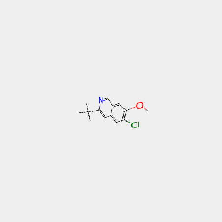 COc1cc2cnc(C(C)(C)C)cc2cc1Cl